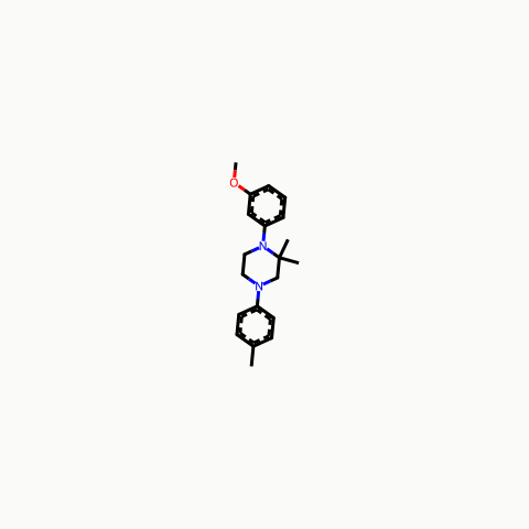 COc1cccc(N2CCN(c3ccc(C)cc3)CC2(C)C)c1